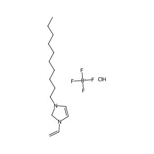 C=CN1C=CN(CCCCCCCCCC)C1.Cl.F[B-](F)(F)F